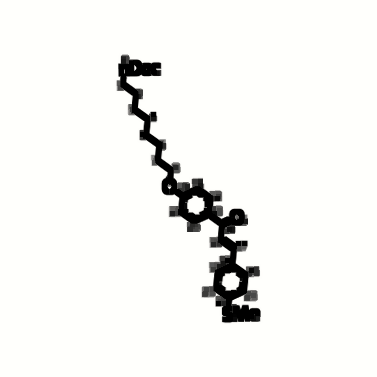 CCCCCCCCCCCCCCCCCCOc1ccc(C(=O)C=Cc2ccc(SC)cc2)cc1